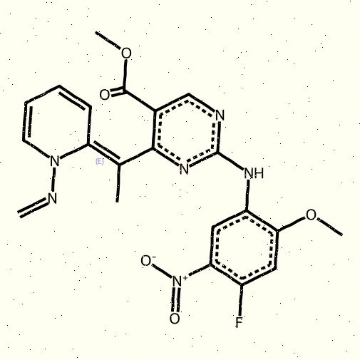 C=NN1C=CC=C/C1=C(/C)c1nc(Nc2cc([N+](=O)[O-])c(F)cc2OC)ncc1C(=O)OC